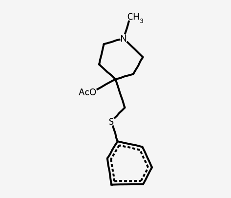 CC(=O)OC1(CSc2ccccc2)CCN(C)CC1